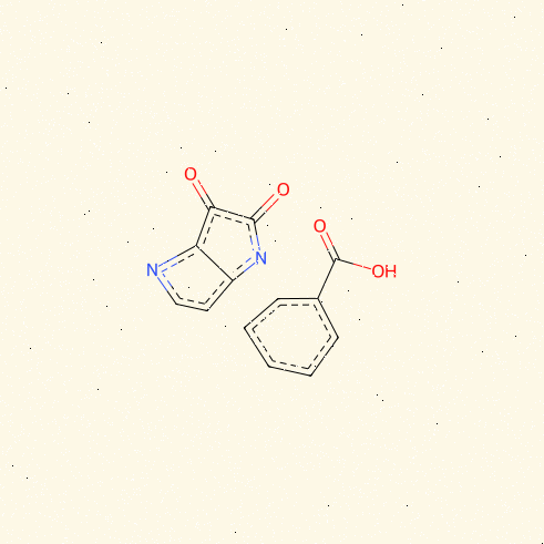 O=C(O)c1ccccc1.O=c1nc2ccnc-2c1=O